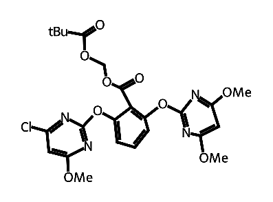 COc1cc(Cl)nc(Oc2cccc(Oc3nc(OC)cc(OC)n3)c2C(=O)OCOC(=O)C(C)(C)C)n1